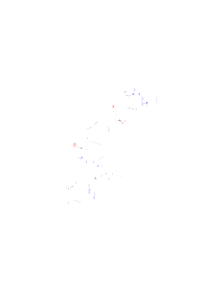 COc1ncccc1Cn1ncc2cc(S(=O)(=O)c3cn[nH]c3)ccc2c1=O